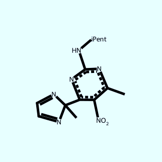 CCCC(C)Nc1nc(C)c([N+](=O)[O-])c(C2(C)N=CC=N2)n1